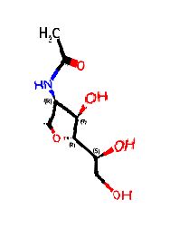 CC(=O)N[C@@H]1[CH]O[C@@H]([C@@H](O)CO)[C@@H]1O